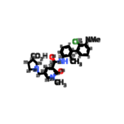 CNc1cccc(-c2cccc(NC(=O)c3cc(CN4CCC(C(=O)O)C4)cn(C)c3=O)c2C)c1Cl